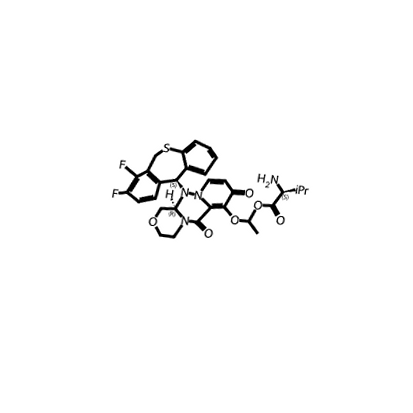 CC(OC(=O)[C@@H](N)C(C)C)Oc1c2n(ccc1=O)N([C@@H]1c3ccccc3SCc3c1ccc(F)c3F)[C@@H]1COCCN1C2=O